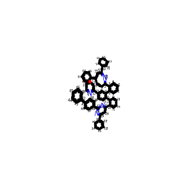 C1=CC(c2ccccc2-c2cc(-c3ccccn3)ccc2-c2ccccc2-c2cc(-c3ccccc3)nc(-c3ccc(-c4ccccc4)cc3)n2)N=C(c2ccccc2)C=C1c1ccccc1